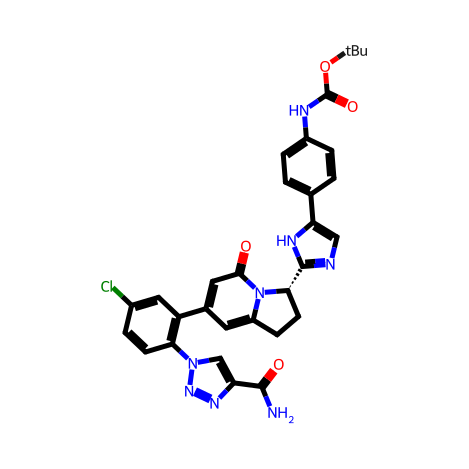 CC(C)(C)OC(=O)Nc1ccc(-c2cnc([C@@H]3CCc4cc(-c5cc(Cl)ccc5-n5cc(C(N)=O)nn5)cc(=O)n43)[nH]2)cc1